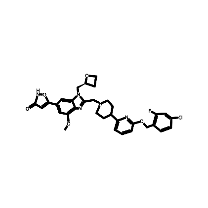 COc1cc(-c2cc(=O)[nH]o2)cc2c1nc(CN1CCC(c3cccc(OCc4ccc(Cl)cc4F)n3)CC1)n2C[C@@H]1CCO1